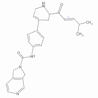 CC(C)/C=C/C(=O)C1CC(c2ccc(NC(=O)N3Cc4ccncc4C3)cc2)=CCN1